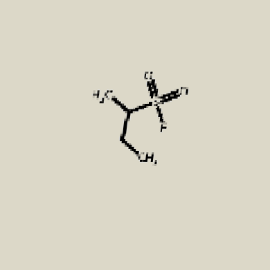 CCC(C)S(=O)(=O)F